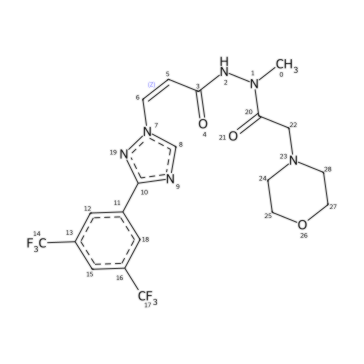 CN(NC(=O)/C=C\n1cnc(-c2cc(C(F)(F)F)cc(C(F)(F)F)c2)n1)C(=O)CN1CCOCC1